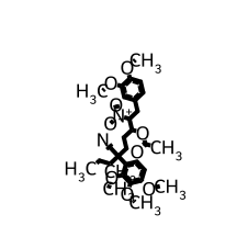 CCC(C)C(C#N)(CCC(OC(C)=O)C(Cc1ccc(OC)c(OC)c1)[N+](=O)[O-])c1ccc(OC)c(OC)c1OC